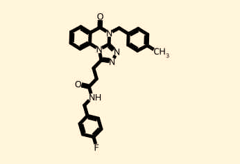 Cc1ccc(Cn2c(=O)c3ccccc3n3c(CCC(=O)NCc4ccc(F)cc4)nnc23)cc1